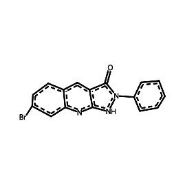 O=c1c2cc3ccc(Br)cc3nc2[nH]n1-c1ccccc1